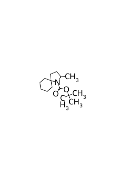 CC1CCC2(CCCCC2)N1C(=O)OC(C)(C)C